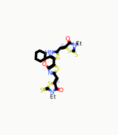 CCN1C(=O)/C(=C/c2nc3c(s2)C2=C(NC(/C=C4\SC(=S)N(CC)C4=O)S2)C2(CCCCC2)O3)SC1=S